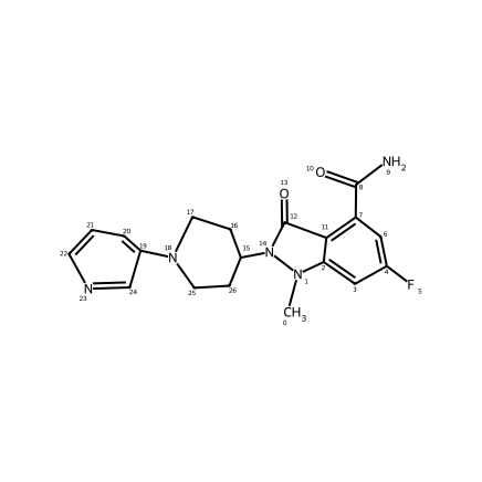 Cn1c2cc(F)cc(C(N)=O)c2c(=O)n1C1CCN(c2cccnc2)CC1